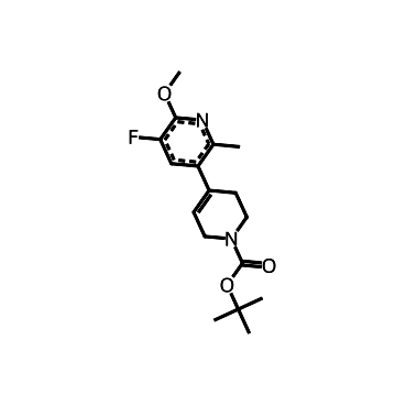 COc1nc(C)c(C2=CCN(C(=O)OC(C)(C)C)CC2)cc1F